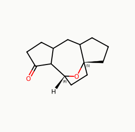 O=C1CCC2CC3CCC[C@]34CC[C@@H](O4)C12